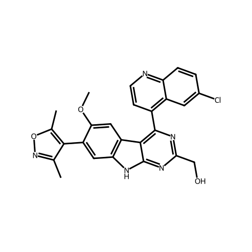 COc1cc2c(cc1-c1c(C)noc1C)[nH]c1nc(CO)nc(-c3ccnc4ccc(Cl)cc34)c12